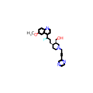 COc1ccc2nccc(C(F)CC[C@@H]3CCN(CC#Cc4cnccn4)C[C@@H]3CO)c2c1